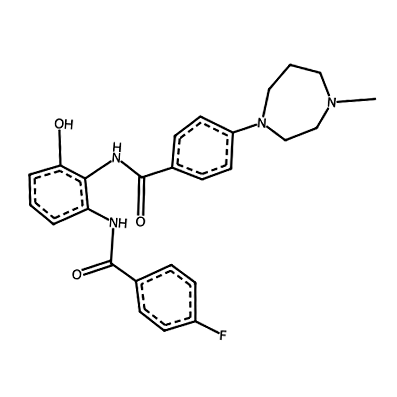 CN1CCCN(c2ccc(C(=O)Nc3c(O)cccc3NC(=O)c3ccc(F)cc3)cc2)CC1